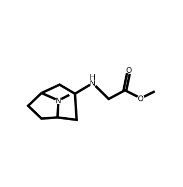 COC(=O)CNC1CC2CCC(C1)N2C